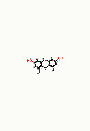 Cc1cc(O)cc(C)c1Cc1c(C)cc(O)cc1C